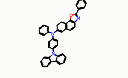 C1=C(N(c2ccccc2)c2ccc(-n3c4ccccc4c4ccccc43)cc2)CCc2c1ccc1nc(-c3ccccc3)oc21